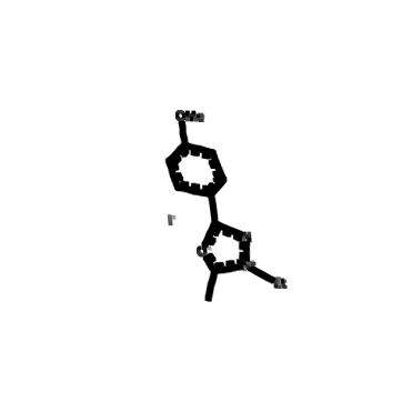 CC[n+]1nc(-c2ccc(OC)cc2)oc1C.[I-]